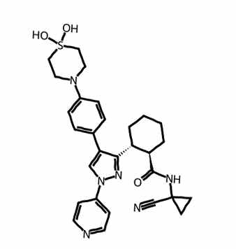 N#CC1(NC(=O)[C@@H]2CCCC[C@H]2c2nn(-c3ccncc3)cc2-c2ccc(N3CCS(O)(O)CC3)cc2)CC1